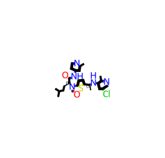 Cc1cc(NC(=O)[C@H](CCC(C)C)N(C=O)c2ccc([C@H](C)Nc3cc(Cl)cnc3C)s2)ccn1